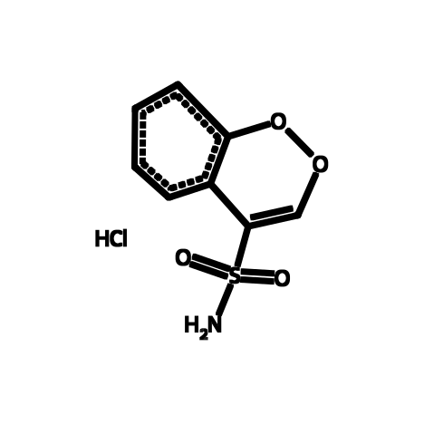 Cl.NS(=O)(=O)C1=COOc2ccccc21